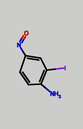 Nc1ccc(N=O)cc1I